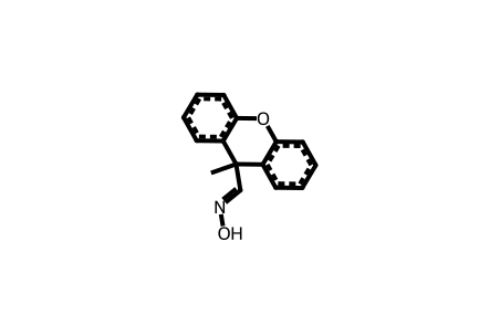 CC1(C=NO)c2ccccc2Oc2ccccc21